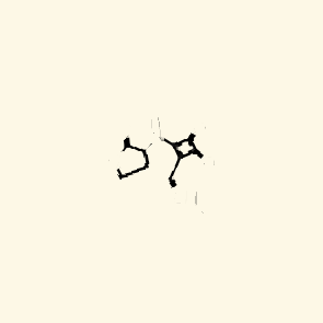 C=Cc1c(N[C@H]2CCOC2=O)c(=O)c1=O